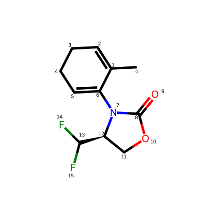 CC1=CCCC=C1N1C(=O)OC[C@H]1C(F)F